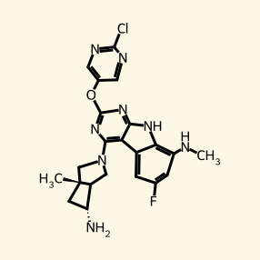 CNc1cc(F)cc2c1[nH]c1nc(Oc3cnc(Cl)nc3)nc(N3CC4[C@H](N)C[C@]4(C)C3)c12